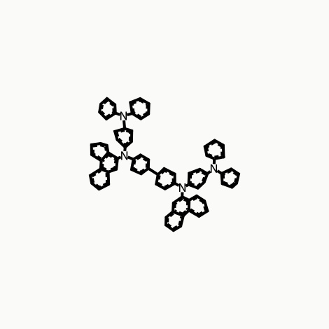 c1ccc(N(c2ccccc2)c2ccc(N(c3ccc(-c4ccc(N(c5ccc(N(c6ccccc6)c6ccccc6)cc5)c5cc6ccccc6c6ccccc56)cc4)cc3)c3cc4ccccc4c4ccccc34)cc2)cc1